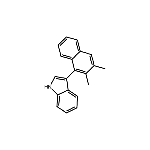 Cc1cc2ccccc2c(-c2c[nH]c3ccccc23)c1C